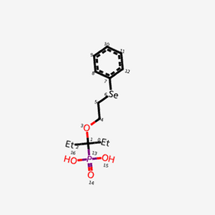 CCC(CC)(OCC[Se]c1ccccc1)P(=O)(O)O